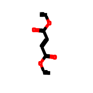 CCC(C)OC(=O)/C=C/C(=O)OC(C)(C)C